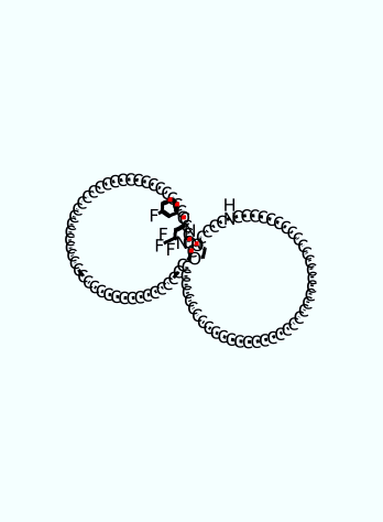 Fc1cccc(Oc2cc(C(F)(F)F)nc(N3CCCCNCCCCCCCCCCCCCCCCCCCCCCCCCCCCCCCCCCCCCCCC4(CCCCCCCCCCCCCCCCCCCCCCCCCCCCCCCCCCCCCCCCCCCCCC45OCCO5)C3)n2)c1